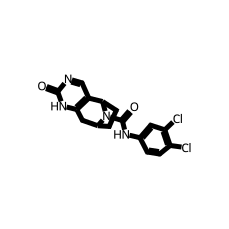 O=C(Nc1ccc(Cl)c(Cl)c1)N1C2CCC1c1cnc(=O)[nH]c1C2